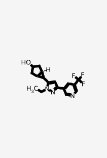 CCn1nc(-c2cncc(C(F)(F)F)c2)cc1C1C2CC(O)C[C@H]21